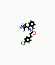 Cc1c(C2CN(C(=O)CCc3ccc(Cl)cc3)Cc3ccccc32)cnn1C